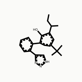 CCC(C)c1cc(C(C)(C)C)cc(-c2ccccc2-c2c[nH]nn2)c1O